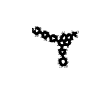 CC(C)(C)c1cc2ccc3c(-c4ccc(C5=CC=CC=C=C5)cc4)cc(-c4ccc(-c5ccc(-c6ccncc6)cc5)cc4)c4ccc(c1)c2c34